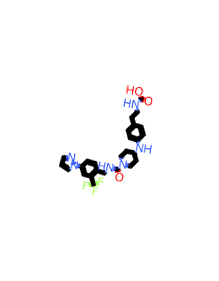 O=C(O)NCCc1ccc(NC2CCN(C(=O)NCc3ccc(-n4cccn4)cc3C(F)(F)F)CC2)cc1